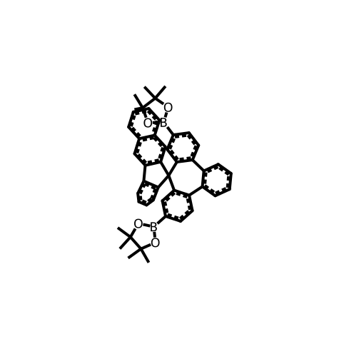 CC1(C)OB(c2ccc3c(c2)C2(c4cc(B5OC(C)(C)C(C)(C)O5)ccc4-c4ccccc4-3)c3ccccc3-c3cc4ccccc4cc32)OC1(C)C